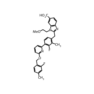 COCCn1c(Cc2ccc(-c3cccc(OCc4ccc(C)cc4F)n3)c(F)c2C)nc2ccc(C(=O)O)cc21